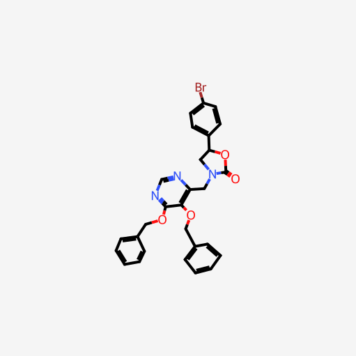 O=C1OC(c2ccc(Br)cc2)CN1Cc1ncnc(OCc2ccccc2)c1OCc1ccccc1